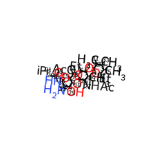 CCC1O[C@@H](O[C@@H]2C(CC)O[C@@H](O[C@@H]3C(COC(C)=O)O[C@@H](NC(=O)CC(C)C)C(N)[C@H]3O)C(NC(C)=O)[C@H]2C)C(C)[C@@H](C)[C@@H]1C